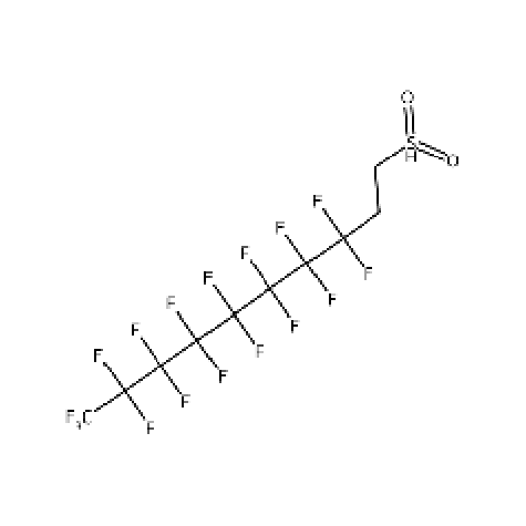 O=[SH](=O)CCC(F)(F)C(F)(F)C(F)(F)C(F)(F)C(F)(F)C(F)(F)C(F)(F)C(F)(F)F